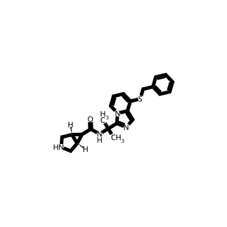 CC(C)(NC(=O)C1[C@H]2CNC[C@@H]12)c1ncc2c(SCc3ccccc3)cccn12